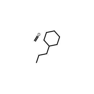 C=O.CCCC1CCCCC1